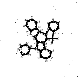 CC1(C)c2ccccc2-c2c1c1c3ccccc3n(-c3ccncc3)c1c1sc3ccccc3c21